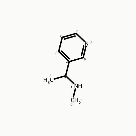 [CH2]NC(C)c1cccnc1